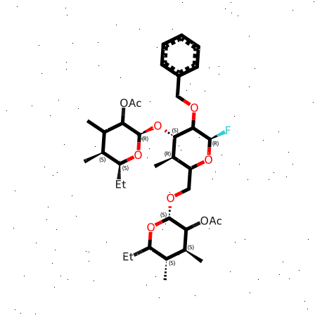 CCC1O[C@H](OCC2O[C@H](F)C(OCc3ccccc3)[C@@H](O[C@H]3O[C@@H](CC)[C@@H](C)C(C)C3OC(C)=O)[C@@H]2C)C(OC(C)=O)[C@@H](C)[C@@H]1C